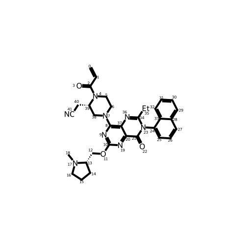 C=CC(=O)N1CCN(c2nc(OC[C@@H]3CCCN3C)nc3c(=O)n(-c4cccc5ccccc45)c(CC)nc23)C[C@@H]1CC#N